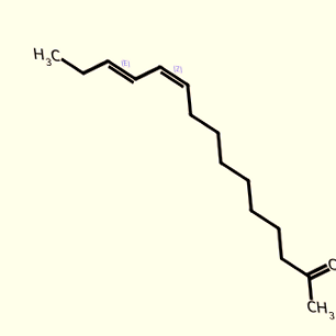 CC/C=C/C=C\CCCCCCCC(C)=O